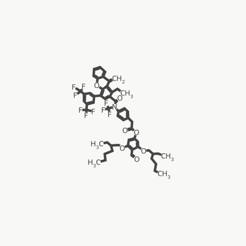 C=C1c2ccccc2Oc2c(-c3cc(C(F)(F)F)cc(C(F)(F)F)c3)cc(C(=O)N(c3ccc(CC(=O)Oc4cc(OCC(CC)CCCC)c(C=O)c(OCC(CC)CCCC)c4)cc3)C(F)(F)F)c(CC)c21